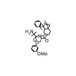 COc1cccc(OC[C@@H](NC(=O)C(C)(C)N)C(=O)N2CCC3=NN(C)C(=O)[C@]3(Cc3ccccc3)C2)c1